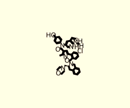 [2H]C([2H])([2H])n1ccc2cc(N(C(=O)c3cc(-c4cc(Cl)ccc4C(=O)N4Cc5ccccc5C[C@H]4CN4CCOCC4)n(C)c3C)c3ccc(O)cc3)cnc21